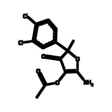 CC(=O)OC1=C(N)OC(C)(c2ccc(Cl)c(Cl)c2)C1=O